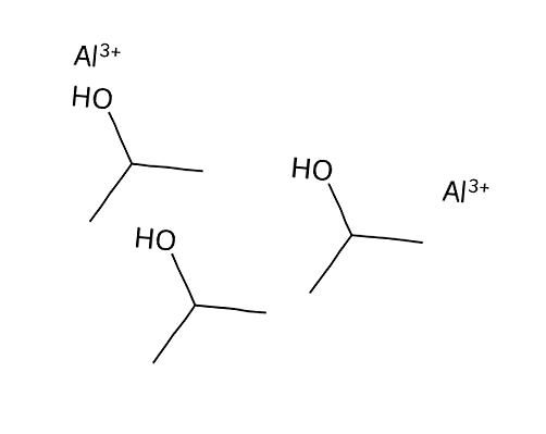 CC(C)O.CC(C)O.CC(C)O.[Al+3].[Al+3]